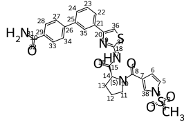 CS(=O)(=O)n1ccc(C(=O)N2CCC[C@H]2C(=O)Nc2nc(-c3cccc(-c4ccc(C(N)=O)cc4)c3)cs2)c1